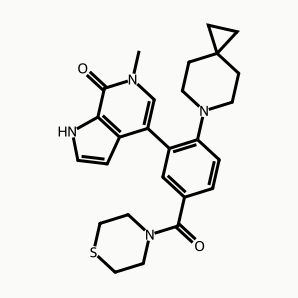 Cn1cc(-c2cc(C(=O)N3CCSCC3)ccc2N2CCC3(CC2)CC3)c2cc[nH]c2c1=O